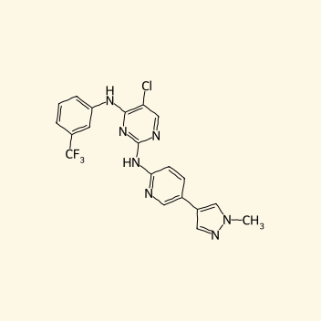 Cn1cc(-c2ccc(Nc3ncc(Cl)c(Nc4cccc(C(F)(F)F)c4)n3)nc2)cn1